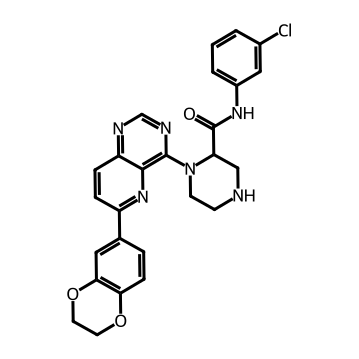 O=C(Nc1cccc(Cl)c1)C1CNCCN1c1ncnc2ccc(-c3ccc4c(c3)OCCO4)nc12